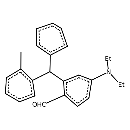 CCN(CC)c1ccc(C=O)c(C(c2ccccc2)c2ccccc2C)c1